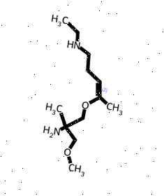 CCNCC/C=C(/C)OCC(C)(N)COC